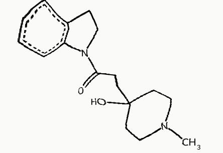 CN1CCC(O)(CC(=O)N2CCc3ccccc32)CC1